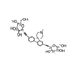 C[C@@H]1[C@H](O)[C@@H](C#Cc2ccc3c(c2)C2(CCN(C)CC2)c2cc(C#C[C@H]4O[C@H](CO)[C@@H](O)[C@H](O)[C@@H]4O)ccc2-3)O[C@H](CO)[C@H]1O